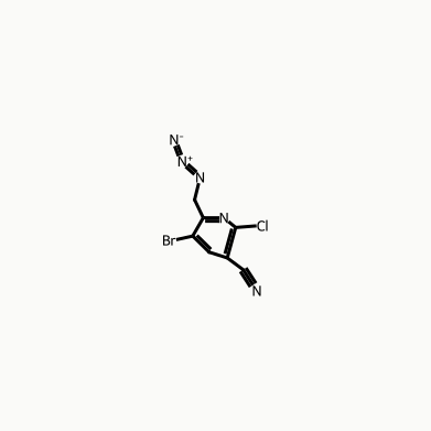 N#Cc1cc(Br)c(CN=[N+]=[N-])nc1Cl